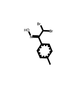 Cc1ccc(C(=NO)C(Br)Br)cc1